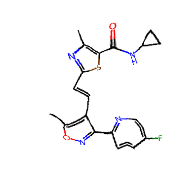 Cc1nc(C=Cc2c(-c3ccc(F)cn3)noc2C)sc1C(=O)NC1CC1